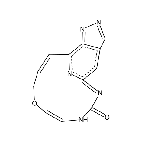 O=C1/N=c2\cc3c(c(n2)/C=C\CO/C=C\N1)=NN=C3